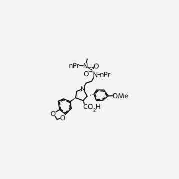 CCCN(C)S(=O)(=O)N(CCC)CCN1C[C@H](c2ccc3c(c2)OCO3)[C@H](C(=O)O)[C@H]1c1ccc(OC)cc1